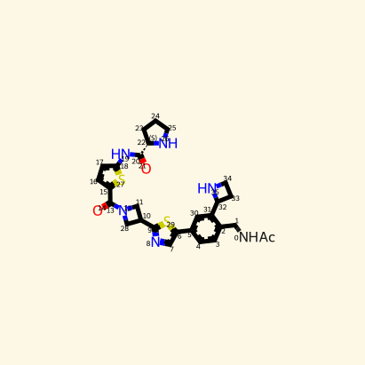 CC(=O)NCc1ccc(-c2cnc(C3CN(C(=O)c4ccc(NC(=O)[C@@H]5CCCN5)s4)C3)s2)cc1C1CCN1